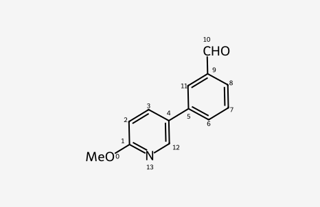 COc1ccc(-c2cccc(C=O)c2)cn1